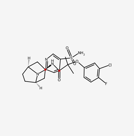 CC(C)(Oc1ccc(F)c(Cl)c1)C(=O)N[C@H]1C[C@H]2CC[C@@H](C1)N2c1ccc(S(N)(=O)=O)cn1